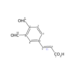 O=Cc1ccc(/C=C/C(=O)O)cc1C=O